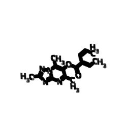 C/C=C\C(=C/C)C(=O)Oc1c(C)nc2nc(C)nn2c1C